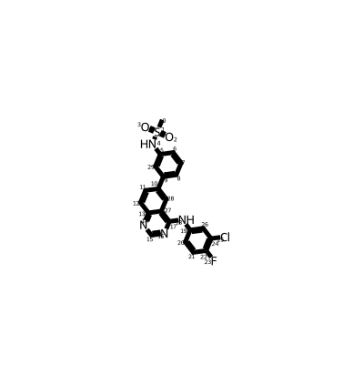 CS(=O)(=O)Nc1cccc(-c2ccc3ncnc(Nc4ccc(F)c(Cl)c4)c3c2)c1